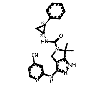 CC1(C)c2[nH]nc(Nc3cc(C#N)ccn3)c2CN1C(=O)N[C@@H]1C[C@H]1c1ccccc1